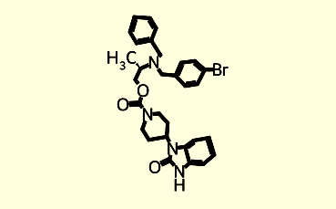 C[C@@H](COC(=O)N1CCC(n2c(=O)[nH]c3ccccc32)CC1)N(Cc1ccccc1)Cc1ccc(Br)cc1